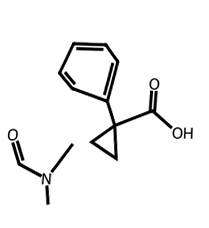 CN(C)C=O.O=C(O)C1(c2ccccc2)CC1